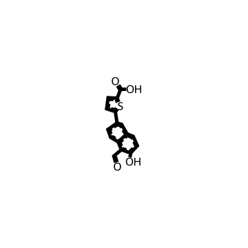 O=Cc1c(O)ccc2cc(-c3ccc(C(=O)O)s3)ccc12